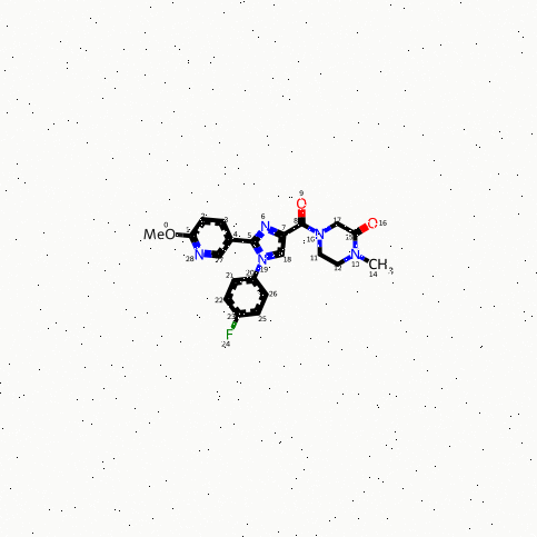 COc1ccc(-c2nc(C(=O)N3CCN(C)C(=O)C3)cn2-c2ccc(F)cc2)cn1